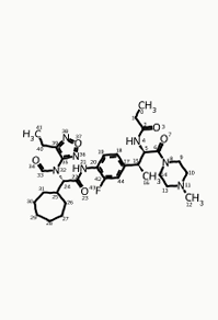 CCC(=O)N[C@@H](C(=O)N1CCN(C)CC1)[C@@H](C)c1ccc(NC(=O)[C@H](C2CCCCCC2)N(C=O)c2nonc2CC)c(F)c1